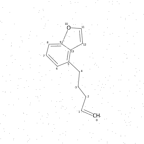 [CH]=CCCCc1cccc2occc12